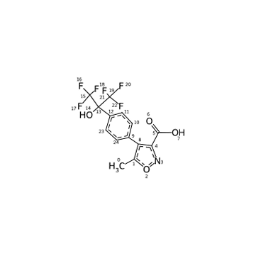 Cc1onc(C(=O)O)c1-c1ccc(C(O)(C(F)(F)F)C(F)(F)F)cc1